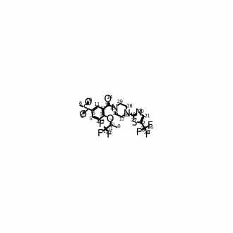 C[C@H](Oc1ccc(S(C)(=O)=O)cc1C(=O)N1CCN(c2ncc(C(F)(F)F)s2)CC1)C(F)(F)F